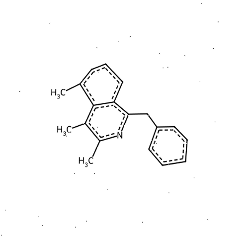 Cc1nc(Cc2ccccc2)c2cccc(C)c2c1C